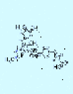 C/C=C(F)\C=C/c1cc(-c2nc(-c3ccc(CN4CC(C(=O)O)C4)cc3)no2)c(C)n1Cc1ccc(C)c(C)c1